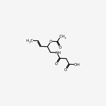 CC=CC(CNC(=O)CC(=O)O)OC(C)=O